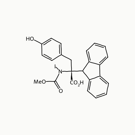 COC(=O)N(I)[C@@](Cc1ccc(O)cc1)(C(=O)O)C1c2ccccc2-c2ccccc21